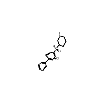 Cl.O=S(=O)(c1ccc(-c2ccccc2)cc1)C1CCCNC1